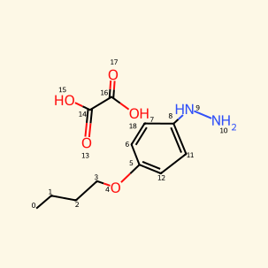 CCCCOc1ccc(NN)cc1.O=C(O)C(=O)O